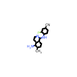 Cc1ccc2c(Nc3ccc(C#N)cc3F)nccc2c1N